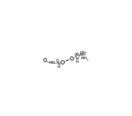 NC[C@H](NC(=O)c1ccc(C#Cc2ccc(NC(=O)CNCCCc3ccccc3)cc2)cc1)C(=O)NO